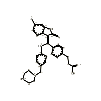 O=C(O)CCc1ccc(C(Nc2ccc(CN3CCNCC3)cc2)=C2C(=O)Nc3cc(Cl)ccc32)cc1